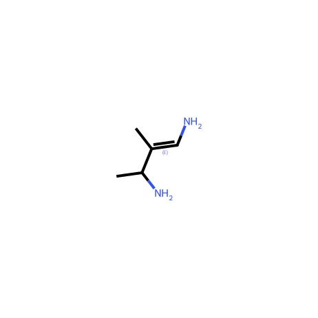 C/C(=C\N)C(C)N